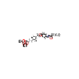 CCO[Si](CCCC[C@H]1CC[C@H](CCOc2ccc(/C=C/C(=O)OC)cc2)CC1)(OCC)OCC